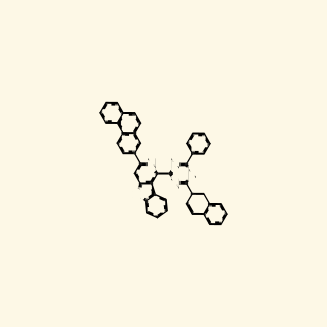 C1=CC(c2nc(-c3ccccc3)nc(-c3nc(-c4ccc5c(ccc6ccccc65)c4)cc4oc5ccccc5c34)n2)Cc2ccccc21